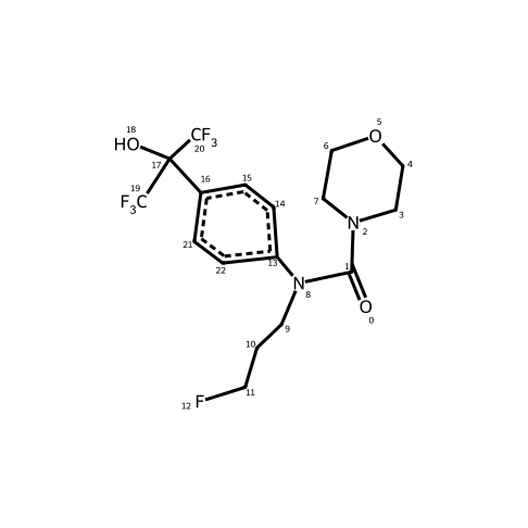 O=C(N1CCOCC1)N(CCCF)c1ccc(C(O)(C(F)(F)F)C(F)(F)F)cc1